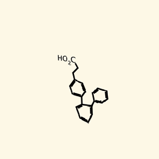 O=C(O)CCc1ccc(-c2ccccc2-c2ccccc2)cc1